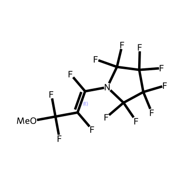 COC(F)(F)/C(F)=C(\F)N1C(F)(F)C(F)(F)C(F)(F)C1(F)F